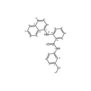 COc1cccc(NC(=O)c2ccccc2Nc2ccnc3ccccc23)c1